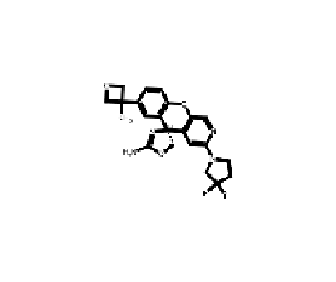 CC1(c2ccc3c(c2)[C@@]2(COC(N)=N2)c2cc(N4CCC(F)(F)C4)ncc2O3)COC1